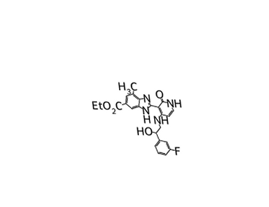 CCOC(=O)c1cc(C)c2nc(-c3c(NCC(O)c4cccc(F)c4)cc[nH]c3=O)[nH]c2c1